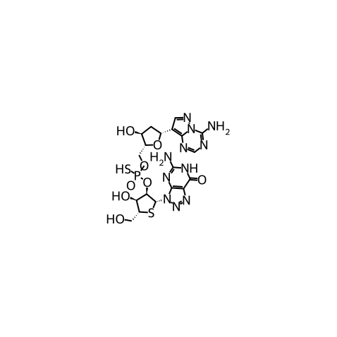 Nc1nc2c(nnn2[C@@H]2S[C@H](CO)[C@@H](O)[C@H]2OP(=O)(S)OC[C@H]2O[C@@H](c3cnn4c(N)ncnc34)C[C@@H]2O)c(=O)[nH]1